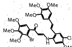 COc1cc(NC=CC(=O)c2cc(OC)c(OC)c(OC)c2Br)c(C=Cc2cc(OC)c(OC)c(OC)c2)cc1Cl